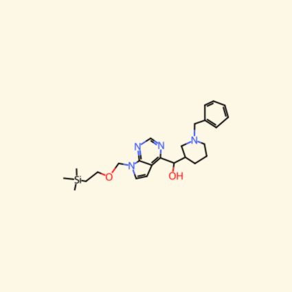 C[Si](C)(C)CCOCn1ccc2c(C(O)C3CCCN(Cc4ccccc4)C3)ncnc21